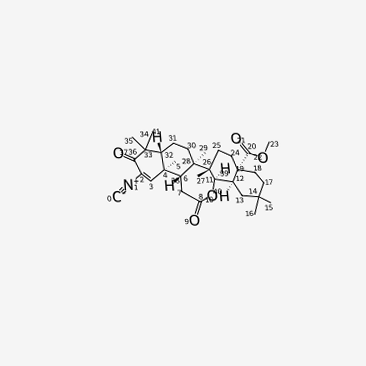 [C-]#[N+]C1=C[C@]2(C)[C@H]3CC(=O)O[C@@H]4[C@@H]5CC(C)(C)CC[C@]5(C(=O)OC)CC[C@@]4(C)[C@]3(C)CC[C@H]2C(C)(C)C1=O